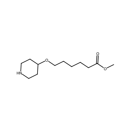 COC(=O)CCCCCOC1CCNCC1